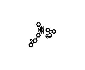 c1ccc(-c2nc(-c3ccc(-c4ccc5c(c4)sc4ccccc45)cc3)nc(-c3ccc4c(c3)C3(c5ccccc5-4)C4CC5CC(C4)CC3C5)n2)cc1